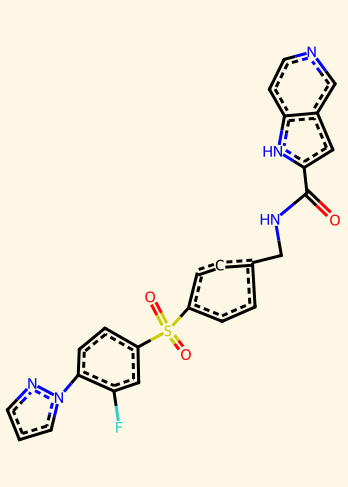 O=C(NCc1ccc(S(=O)(=O)c2ccc(-n3cccn3)c(F)c2)cc1)c1cc2cnccc2[nH]1